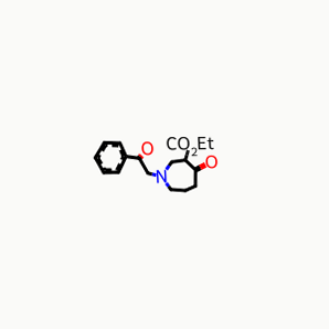 CCOC(=O)C1CN(CC(=O)c2ccccc2)CCCC1=O